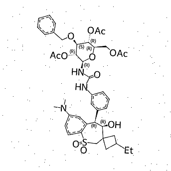 CCC1CC2(C1)CS(=O)(=O)c1ccc(N(C)C)cc1[C@@H](c1cccc(NC(=O)N[C@@H]3O[C@H](COC(C)=O)[C@@H](OC(C)=O)[C@H](OCc4ccccc4)[C@H]3OC(C)=O)c1)[C@H]2O